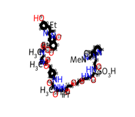 CCc1c2c(nc3ccc(O)cc13)-c1cc3c(c(=O)n1C2)CCC(=O)[C@@]3(CC)OC(=O)N(C)CCN(C)C(=O)OCc1ccc(NC(=O)[C@H](C)NC(=O)[C@@H](NC(=O)CCOCCOCCNC(=O)[C@H](CS(=O)(=O)O)NC(=O)CCn2c(CN(C)NC)cc3cccnc32)C(C)C)cc1